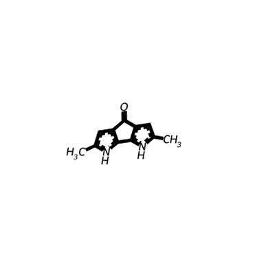 Cc1cc2c([nH]1)-c1[nH]c(C)cc1C2=O